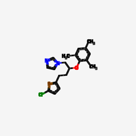 Cc1cc(C)c(OC(CCc2ccc(Cl)s2)Cn2ccnc2)c(C)c1